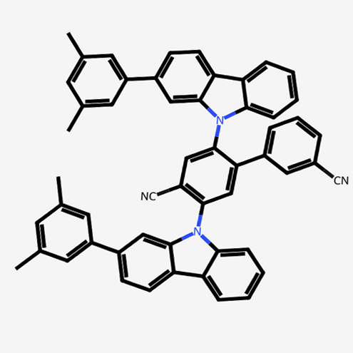 Cc1cc(C)cc(-c2ccc3c4ccccc4n(-c4cc(-c5cccc(C#N)c5)c(-n5c6ccccc6c6ccc(-c7cc(C)cc(C)c7)cc65)cc4C#N)c3c2)c1